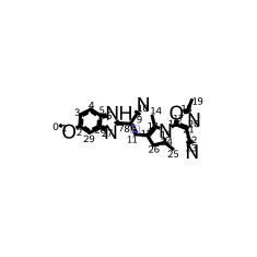 COc1ccc2[nH]c(/C(C#N)=C/C3=C(C)N(c4oc(C)nc4C#N)C(C)C3)nc2c1